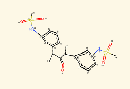 CC(C(=O)C(C)c1cccc(NS(C)(=O)=O)c1)c1cccc(NS(C)(=O)=O)c1